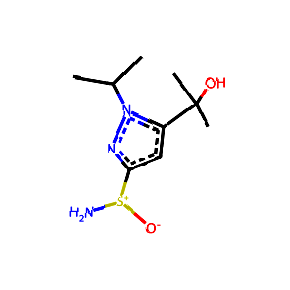 CC(C)n1nc([S+](N)[O-])cc1C(C)(C)O